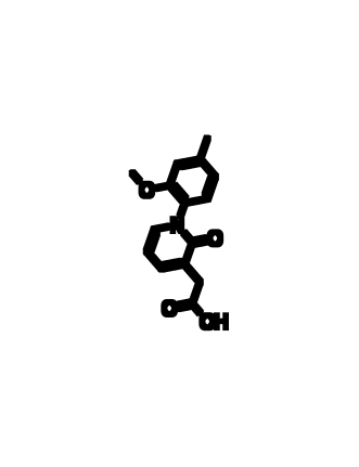 COc1cc(C)ccc1-n1cccc(CC(=O)O)c1=O